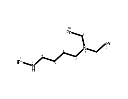 CC(C)CN(CCCCNC(C)C)CC(C)C